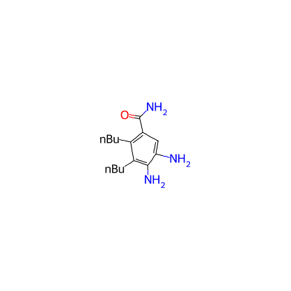 CCCCc1c(C(N)=O)cc(N)c(N)c1CCCC